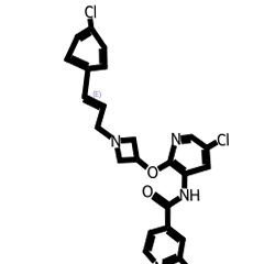 O=C(Nc1cc(Cl)cnc1OC1CN(C/C=C/c2ccc(Cl)cc2)C1)c1ccnc(Cl)c1